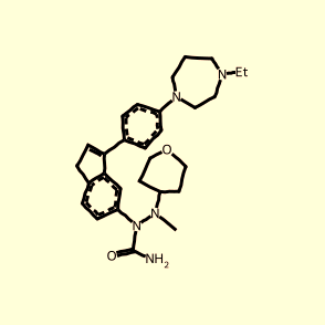 CCN1CCCN(c2ccc(C3=CCc4ccc(N(C(N)=O)N(C)C5CCOCC5)cc43)cc2)CC1